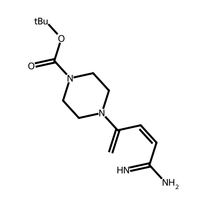 C=C(/C=C\C(=N)N)N1CCN(C(=O)OC(C)(C)C)CC1